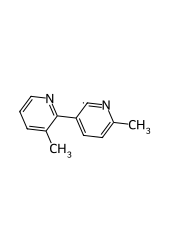 Cc1ccc(-c2ncccc2C)[c]n1